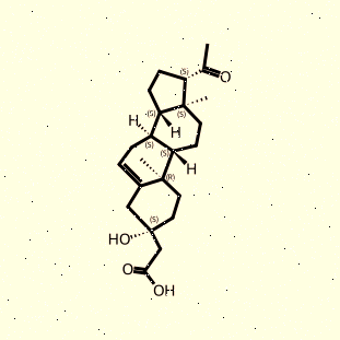 CC(=O)[C@H]1CC[C@H]2[C@@H]3CC=C4C[C@](O)(CC(=O)O)CC[C@]4(C)[C@H]3CC[C@]12C